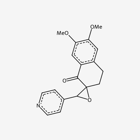 COc1cc2c(cc1OC)C(=O)C1(CC2)OC1c1ccncc1